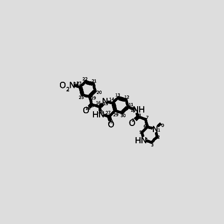 CN1CCNCC1CC(=O)Nc1ccc2nc(C(=O)c3cccc([N+](=O)[O-])c3)[nH]c(=O)c2c1